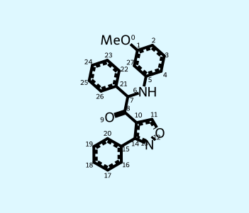 COc1cccc(NC(C(=O)c2conc2-c2ccccc2)c2ccccc2)c1